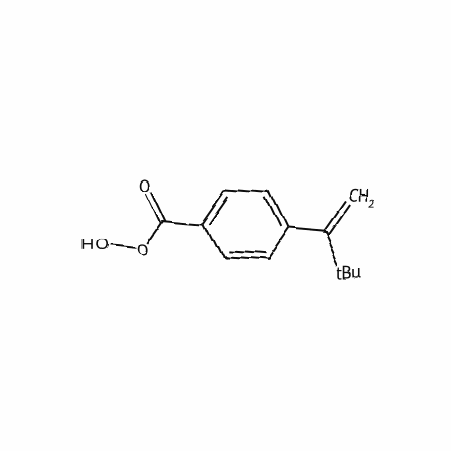 C=C(c1ccc(C(=O)OO)cc1)C(C)(C)C